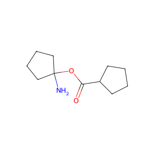 NC1(OC(=O)C2CCCC2)CCCC1